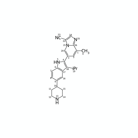 Cc1cc(-c2[nH]c3ccc(C4CCNCC4)cc3c2C(C)C)cn2c(C#N)cnc12